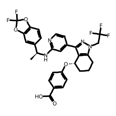 C[C@H](Nc1cc(-c2nn(CC(F)(F)F)c3c2[C@@H](Oc2ccc(C(=O)O)cc2)CCC3)ccn1)c1ccc2c(c1)OC(F)(F)O2